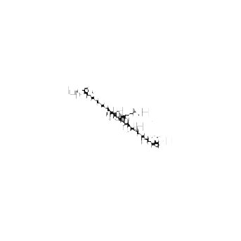 NCCCCCC(=O)NC(COCCC(=O)NCCOCCOCCOCCOCC1OCCC(O)C1O)COCCC(=O)NCCOCCOCCOCCOCC1OCCC(O)C1O